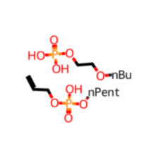 C=CCOP(=O)(O)OCCCCC.CCCCOCCOP(=O)(O)O